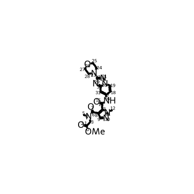 COC(=O)CN(C)C(=O)c1cnn(C)c1C(=O)Nc1ccn2nc(N3CCOCC3)nc2c1